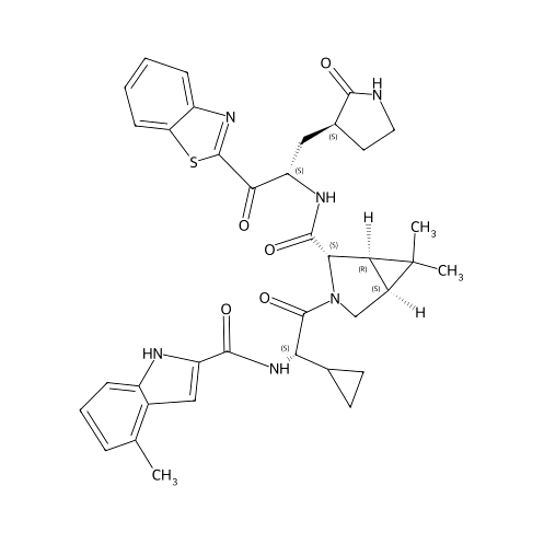 Cc1cccc2[nH]c(C(=O)N[C@H](C(=O)N3C[C@H]4[C@@H]([C@H]3C(=O)N[C@@H](C[C@@H]3CCNC3=O)C(=O)c3nc5ccccc5s3)C4(C)C)C3CC3)cc12